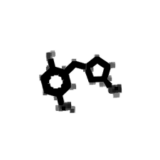 Nc1ccc(F)c(CN2CC[C@@H](O)C2)c1